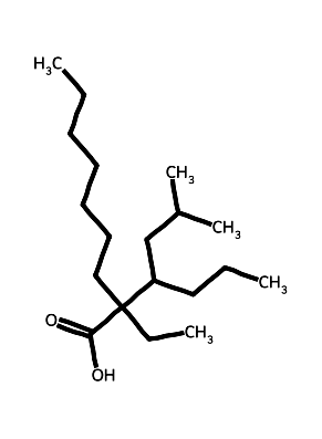 CCCCCCCC(CC)(C(=O)O)C(CCC)CC(C)C